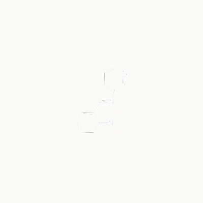 O=[N+]([O-])c1ccccc1-c1nc2cnccc2s1